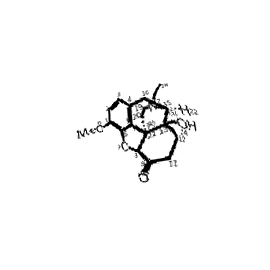 COc1ccc2c3c1OC1C(=O)CCC4(O)[C@H](C2)N(C)CC[C@@]314